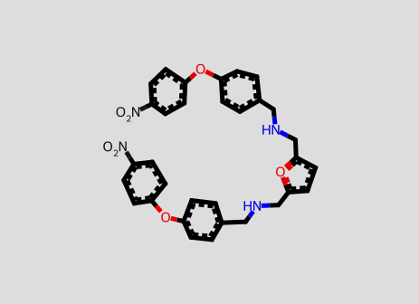 O=[N+]([O-])c1ccc(Oc2ccc(CNCc3ccc(CNCc4ccc(Oc5ccc([N+](=O)[O-])cc5)cc4)o3)cc2)cc1